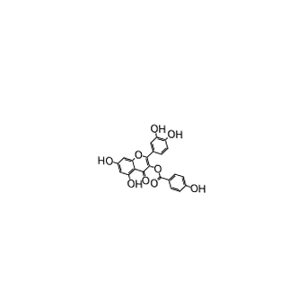 O=C(Oc1c(-c2ccc(O)c(O)c2)oc2cc(O)cc(O)c2c1=O)c1ccc(O)cc1